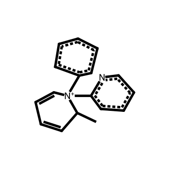 CC1C=CC=C[N+]1(c1ccccc1)c1ccccn1